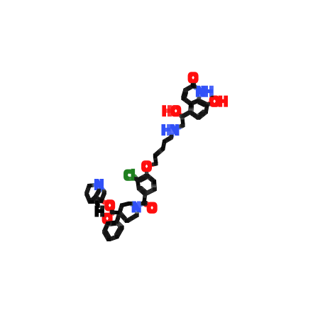 O=C(c1ccc(OCCCCCNCC(O)c2ccc(O)c3[nH]c(=O)ccc23)c(Cl)c1)N1CCC(C(=O)O[C@H]2CN3CCC2CC3)(c2ccccc2)CC1